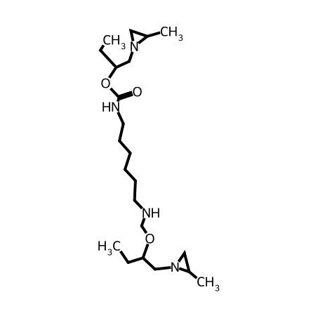 CCC(CN1CC1C)OCNCCCCCCNC(=O)OC(CC)CN1CC1C